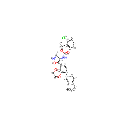 Cc1noc(-c2ccc(-c3ccc(CC(=O)O)cc3)c3c2OCCO3)c1NC(=O)OC(C)c1ccccc1Cl